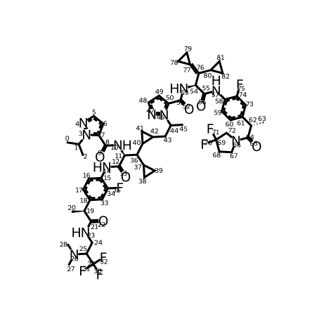 CC(C)n1nccc1C(=O)N[C@H](C(=O)Nc1ccc([C@H](C)C(=O)NCC(N(C)C)C(F)(F)F)cc1F)C(C1CC1)C1CC1CC(C)n1nccc1C(=O)N[C@H](C(=O)Nc1ccc([C@H](C)C(=O)N2CCC(F)(F)C2)cc1F)C(=C1CC1)C1CC1